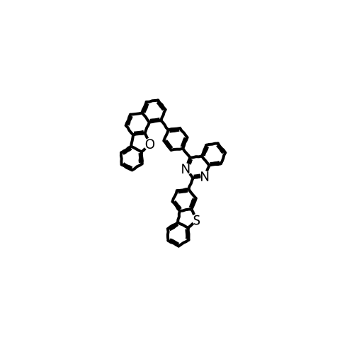 c1cc(-c2ccc(-c3nc(-c4ccc5c(c4)sc4ccccc45)nc4ccccc34)cc2)c2c(c1)ccc1c3ccccc3oc12